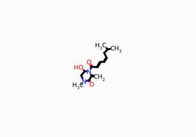 C=C1C(=O)N(C)CC(O)N1C(=O)/C=C/C=C\CC(C)C